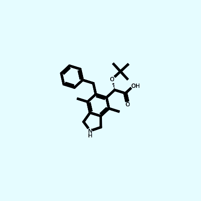 Cc1c2c(c(C)c([C@H](OC(C)(C)C)C(=O)O)c1Cc1ccccc1)CNC2